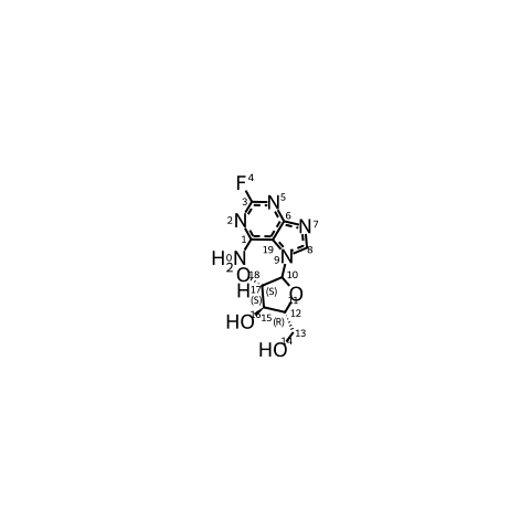 Nc1nc(F)nc2ncn(C3O[C@H](CO)[C@@H](O)[C@@H]3O)c12